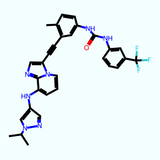 Cc1ccc(NC(=O)Nc2cccc(C(F)(F)F)c2)cc1C#Cc1cnc2c(Nc3cnn(C(C)C)c3)cccn12